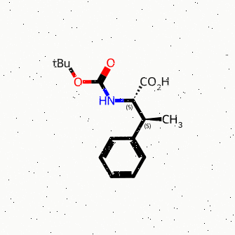 C[C@@H](c1ccccc1)[C@H](NC(=O)OC(C)(C)C)C(=O)O